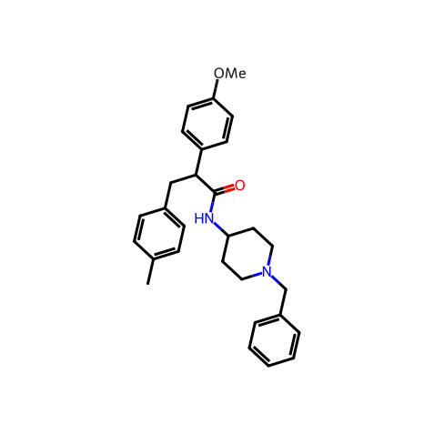 COc1ccc(C(Cc2ccc(C)cc2)C(=O)NC2CCN(Cc3ccccc3)CC2)cc1